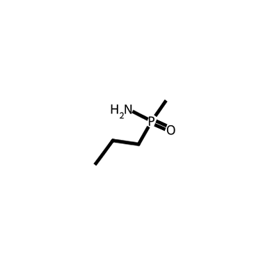 CCCP(C)(N)=O